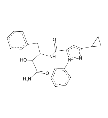 NC(=O)C(O)C(Cc1ccccc1)NC(=O)c1cc(C2CC2)nn1-c1ccccc1